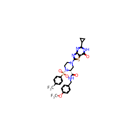 O=C(NCc1ccc(OC(F)(F)F)cc1)[C@H]1CN(c2nc3nc(C4CC4)[nH]c(=O)c3s2)CCN1S(=O)(=O)c1ccc(C(F)(F)F)cc1